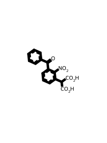 O=C(c1ccccc1)c1cccc(C(C(=O)O)C(=O)O)c1[N+](=O)[O-]